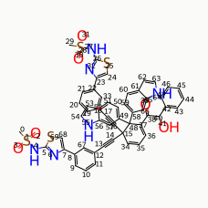 CS(=O)(=O)Nc1nc(-c2cccc(C#CC3(C#Cc4cccc(-c5csc(NS(C)(=O)=O)n5)c4)C=CC=C(C(=O)C(O)c4ccccc4)C3(c3ccc4cc[nH]c4c3)c3ccc4cc[nH]c4c3)c2)cs1